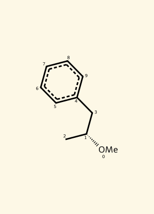 CO[C@H](C)Cc1ccccc1